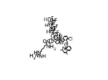 Cc1cc(C)c2cccc(OCc3c(Cl)ccc(S(=O)(=O)NC4(C(=O)N5CCN(C(=O)[C@@H](N)CCCCNC(=N)N)CC5)CCCC4)c3Cl)c2n1.O=C(O)C(F)(F)F.O=C(O)C(F)(F)F.O=C(O)C(F)(F)F